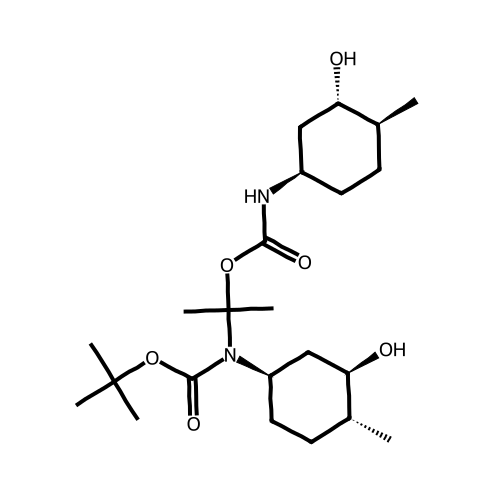 C[C@@H]1CC[C@@H](N(C(=O)OC(C)(C)C)C(C)(C)OC(=O)N[C@@H]2CC[C@H](C)[C@@H](O)C2)C[C@H]1O